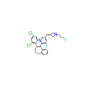 FCCCN1CC(=Cc2cnc(C3=C(c4ccc(Cl)cc4Cl)CCCc4ccccc43)c(F)c2)C1